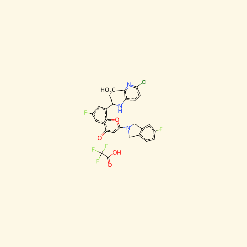 CC(Nc1ccc(Cl)nc1C(=O)O)c1cc(F)cc2c(=O)cc(N3Cc4ccc(F)cc4C3)oc12.O=C(O)C(F)(F)F